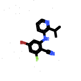 CC(C)c1ncccc1Nc1cc(Br)cc(F)c1C#N